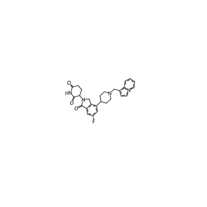 O=C1CCC(N2Cc3c(cc(F)cc3C3CCN(Cc4ccn5ccccc45)CC3)C2=O)C(=O)N1